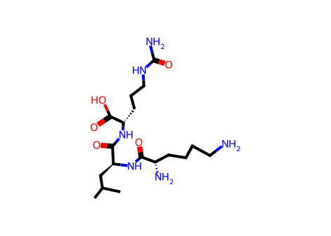 CC(C)C[C@H](NC(=O)[C@@H](N)CCCCN)C(=O)N[C@@H](CCCNC(N)=O)C(=O)O